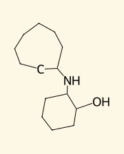 OC1CCCCC1NC1CCCCCCC1